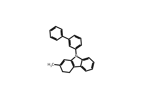 CC1=Cc2c(c3ccccc3n2-c2cccc(-c3ccccc3)c2)CC1